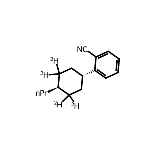 [2H]C1([2H])C[C@H](c2ccccc2C#N)CC([2H])([2H])[C@H]1CCC